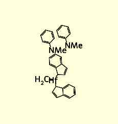 CNc1ccccc1.CNc1ccccc1.[CH2]=[Hf]([CH]1C=Cc2ccccc21)[CH]1C=Cc2ccccc21